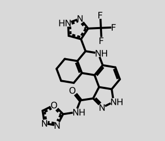 O=C(Nc1nnco1)C1=NNC2C=CC3=C(C4=C(CCCC4)C(c4c[nH]nc4C(F)(F)F)N3)C12